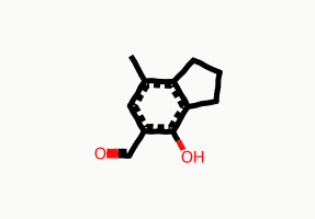 Cc1cc(C=O)c(O)c2c1CCC2